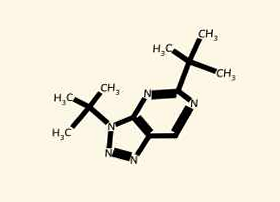 CC(C)(C)c1ncc2nnn(C(C)(C)C)c2n1